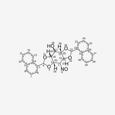 O=NC1[C@@H]2OC(c3cccc4ccccc34)O[C@@H]2[C@@H](O)[C@@H]2OC(c3cccc4ccccc34)O[C@@H]12